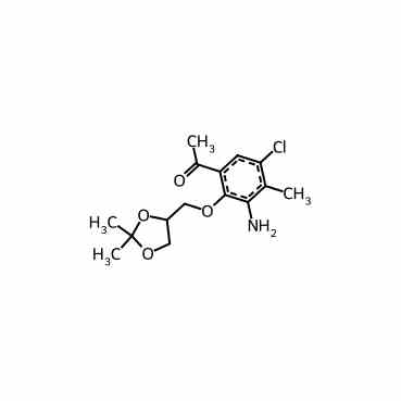 CC(=O)c1cc(Cl)c(C)c(N)c1OCC1COC(C)(C)O1